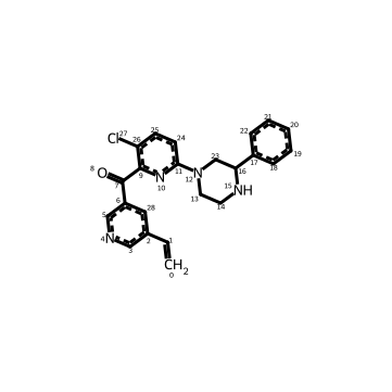 C=Cc1cncc(C(=O)c2nc(N3CCNC(c4ccccc4)C3)ccc2Cl)c1